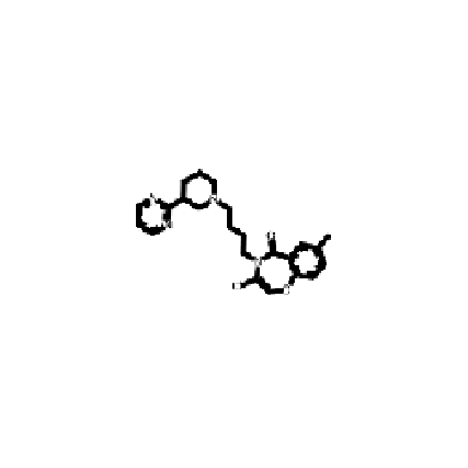 Cc1ccc2c(c1)C(=O)N(CCCCN1CCCC(c3ncccn3)C1)C(Cl)=CO2